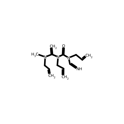 C=CCN(C)C(=C)N(CC=C)C(=O)N(C=N)CC=C